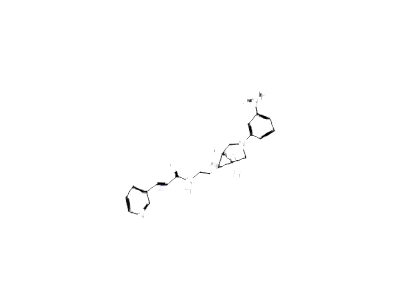 O=C(/C=C/c1cccnc1)NCC[C@H]1[C@H]2CN(c3cccc([N+](=O)[O-])c3)C[C@@H]12